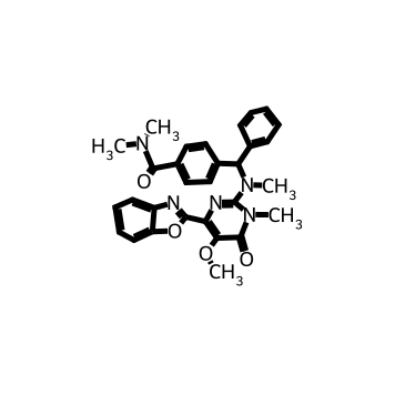 COc1c(-c2nc3ccccc3o2)nc(N(C)C(c2ccccc2)c2ccc(C(=O)N(C)C)cc2)n(C)c1=O